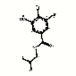 CC(C)COC(=O)c1cc(O)c(Cl)c(Br)c1